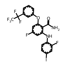 NC(=O)c1c(Nc2ccc(I)cc2F)cc(F)cc1Oc1cccc(C(F)(F)C(F)(F)F)c1